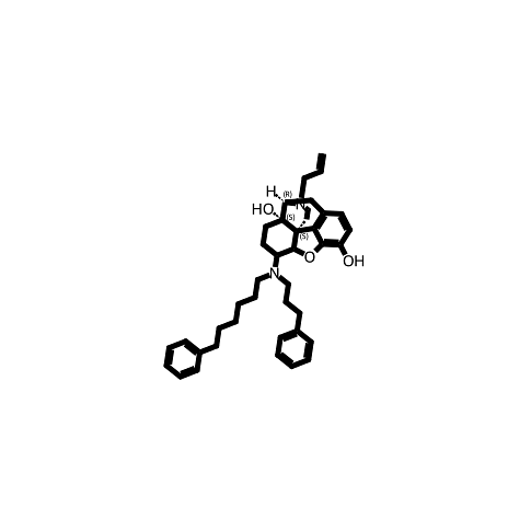 C=CCN1CC[C@]23c4c5ccc(O)c4OC2C(N(CCCCCCc2ccccc2)CCCc2ccccc2)CC[C@@]3(O)[C@H]1C5